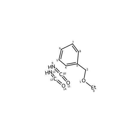 CCOCc1ccccc1.N=C=O.N=C=O